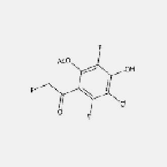 CC(=O)Oc1c(F)c(O)c(Cl)c(F)c1C(=O)CF